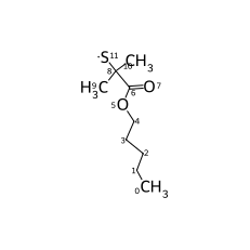 CCCCCOC(=O)C(C)(C)[S]